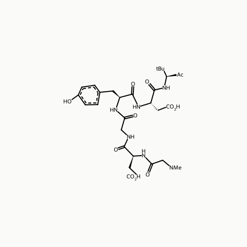 CNCC(=O)N[C@@H](CC(=O)O)C(=O)NCC(=O)N[C@@H](Cc1ccc(O)cc1)C(=O)N[C@@H](CC(=O)O)C(=O)N[C@H](C(C)=O)C(C)(C)C